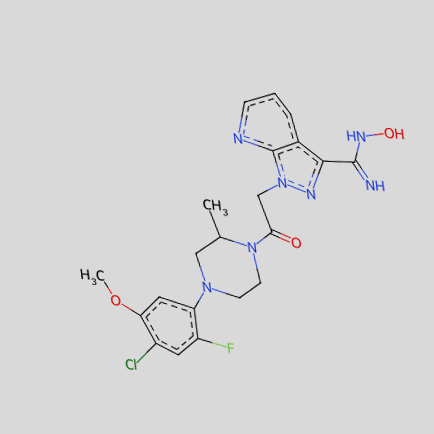 COc1cc(N2CCN(C(=O)Cn3nc(C(=N)NO)c4cccnc43)C(C)C2)c(F)cc1Cl